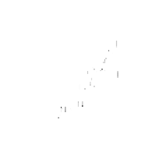 CC1=C([C@H](C#CCOC(F)(F)F)CCI)C[C@@H](C(=O)NC2CCN(CC3=CNC(N4CCC(C)CC4)CC3)CC2)C=C1